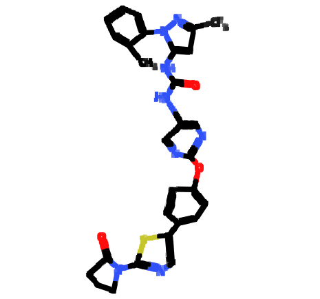 Cc1ccccc1-n1nc(C(F)(F)F)cc1NC(=O)Nc1cnc(Oc2ccc(-c3cnc(N4CCCC4=O)s3)cc2)nc1